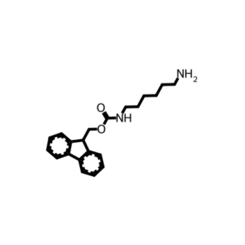 NCCCCCCNC(=O)OCC1c2ccccc2-c2ccccc21